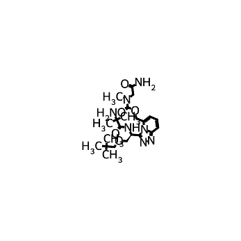 CN(CC(N)=O)C(=O)OCc1cccc2nnc([C@@H](COCC(C)(C)C)NC(=O)C(C)(C)N)n12